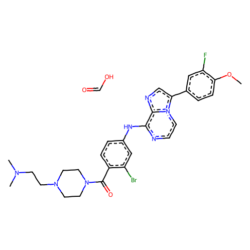 COc1ccc(-c2cnc3c(Nc4ccc(C(=O)N5CCN(CCN(C)C)CC5)c(Br)c4)nccn23)cc1F.O=CO